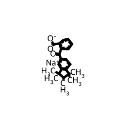 CC1C(C)(C)c2ccc(C(=O)c3ccccc3C(=O)[O-])cc2C1(C)C.[Na+]